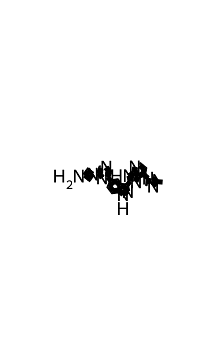 Cc1cn(-c2ccnc3[nH]c(-c4n[nH]c5ccc(-c6cncc(N7CC(N)C7)n6)cc45)nc23)cn1